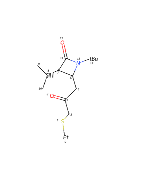 CCSCC(=O)CC1C([SiH](C)C)C(=O)N1C(C)(C)C